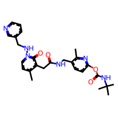 Cc1ccn(NCc2cccnc2)c(=O)c1CC(=O)NCc1ccc(OC(=O)NC(C)(C)C)nc1C